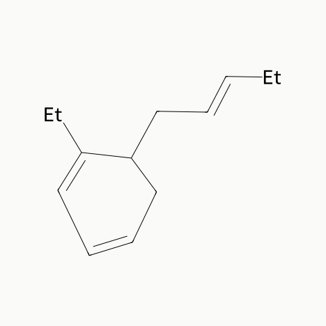 CCC=CCC1CC=CC=C1CC